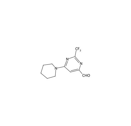 O=Cc1cc(N2CCCCC2)nc(C(F)(F)F)n1